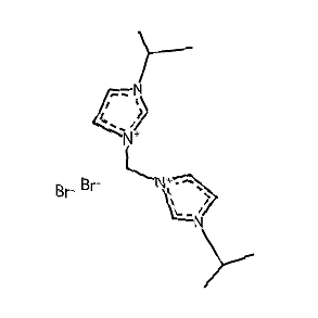 CC(C)n1cc[n+](C[n+]2ccn(C(C)C)c2)c1.[Br-].[Br-]